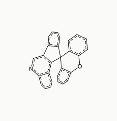 c1ccc2c(c1)Oc1ccccc1C21c2ccccc2-c2cnc3ccccc3c21